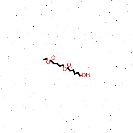 CCOC(=O)CCCCOC(=O)CCCCCO